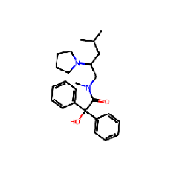 CC(C)CC(CN(C)C(=O)C(O)(c1ccccc1)c1ccccc1)N1CCCC1